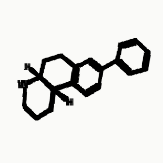 c1ccc(-c2ccc3c(c2)CC[C@H]2NCCC[C@@H]32)cc1